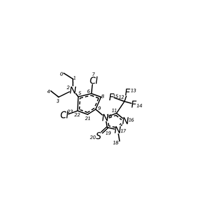 CCN(CC)c1c(Cl)cc(-n2c(C(F)(F)F)nn(C)c2=S)cc1Cl